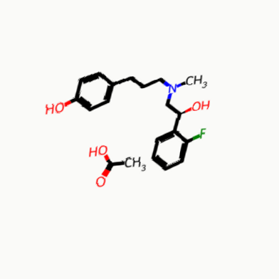 CC(=O)O.CN(CCCc1ccc(O)cc1)C[C@@H](O)c1ccccc1F